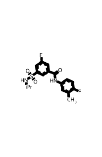 Cc1cc(NC(=O)c2cc(F)cc(S(=O)(=O)NC(C)C)c2)ccc1F